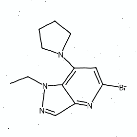 CCn1ncc2nc(Br)cc(N3CCCC3)c21